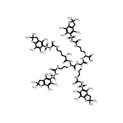 Cc1c(C)c(S(=O)(=O)NC(=N)NCCC[C@H](NC(=O)[C@H](CCCNC(=N)NS(=O)(=O)c2c(C)c(C)c3c(c2C)CC(C)(C)O3)NC(=O)[C@H](CCCNC(=N)NS(=O)(=O)c2c(C)c(C)c3c(c2C)CC(C)(C)O3)NC(=O)[C@@H](N)CCCNC(=N)NS(=O)(=O)c2c(C)c(C)c3c(c2C)CC(C)(C)O3)C(=O)O)c(C)c2c1OC(C)(C)C2